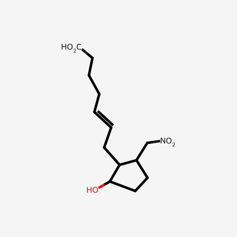 O=C(O)CCCC=CCC1C(O)CCC1C[N+](=O)[O-]